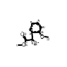 COC(=O)C(Br)c1ccccc1OC